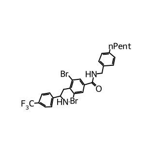 CCCCCc1ccc(CNC(=O)c2cc(Br)c(CC([NH])c3ccc(C(F)(F)F)cc3)c(Br)c2)cc1